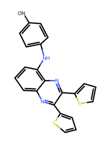 O=Nc1ccc(Nc2cccc3nc(-c4cccs4)c(-c4cccs4)nc23)cc1